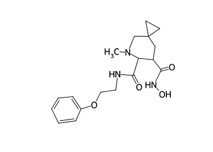 CN1CC2(CC2)CC(C(=O)NO)C1C(=O)NCCOc1ccccc1